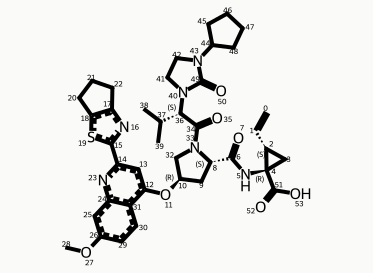 C=C[C@@H]1C[C@]1(NC(=O)[C@@H]1C[C@@H](Oc2cc(-c3nc4c(s3)CCC4)nc3cc(OC)ccc23)CN1C(=O)[C@H](C(C)C)N1CCN(C2CCCC2)C1=O)C(=O)O